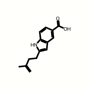 C=C(C)CCc1cc2cc(C(=O)O)ccc2[nH]1